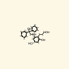 Cl.OCCCc1c(O)cccc1NCC(O)(c1ccccc1)c1ccccc1